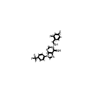 N=c1c2ncn(-c3ccc(C(F)(F)F)cc3)c2ncn1NCc1ccc(F)cc1F